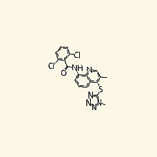 Cc1cnc2c(NC(=O)c3c(Cl)cccc3Cl)cccc2c1Sc1nnnn1C